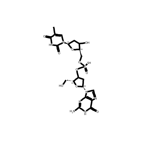 Cc1cn([C@H]2CC(O)[C@@H](COP(=O)(S)OC3C[C@H](n4cnc5c(=O)[nH]c(N)nc54)O[C@@H]3CO)O2)c(=O)[nH]c1=O